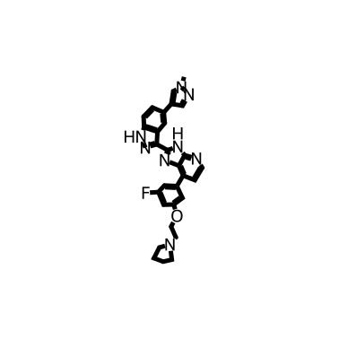 Cn1cc(-c2ccc3[nH]nc(-c4nc5c(-c6cc(F)cc(OCCN7CCCC7)c6)ccnc5[nH]4)c3c2)cn1